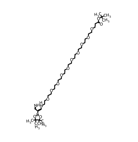 CC(C)(C)OC(=O)CCOCCOCCOCCOCCOCCOCCOCCOCCOCCOCCN/C=C(\C=N)B1OC(C)(C)C(C)(C)O1